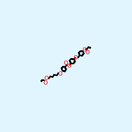 C=CC(=O)OCCCCCCOc1ccc(C(=O)Oc2ccc(OCc3ccc(OC(=O)C=C)cc3)cc2)cc1